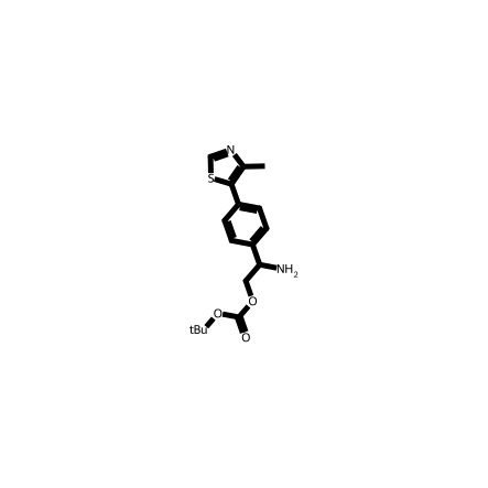 Cc1ncsc1-c1ccc(C(N)COC(=O)OC(C)(C)C)cc1